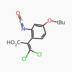 CC(C)(C)Oc1ccc(C(C(=O)O)=C(Cl)Cl)c(N=C=O)c1